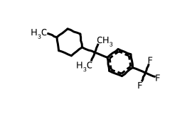 CC1CCC(C(C)(C)c2ccc(C(F)(F)F)cc2)CC1